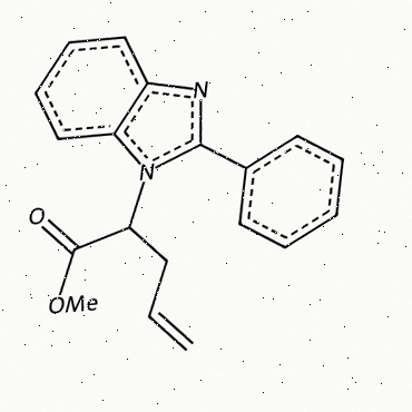 C=CCC(C(=O)OC)n1c(-c2ccccc2)nc2ccccc21